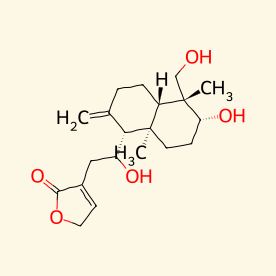 C=C1CC[C@@H]2[C@](C)(CO)[C@H](O)CC[C@@]2(C)[C@@H]1C(O)CC1=CCOC1=O